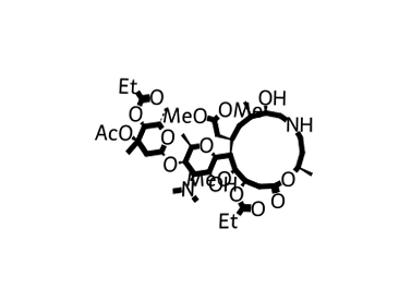 CCC(=O)O[C@@H]1CC(=O)O[C@H](C)CCNC[C@H](O)[C@H](C)C[C@H](CC(OC)OC)[C@H]([C@@H]2O[C@H](C)[C@@H](O[C@@H]3C[C@@](C)(OC(C)=O)[C@@H](OC(=O)CC)[C@H](C)O3)[C@H](N(C)C)[C@H]2O)[C@@H]1OC